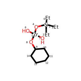 CC[Si](CC)(CC)[O][Zr]([OH])([OH])[O]C1CCCCC1